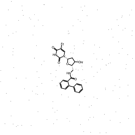 CCc1cn([C@@H]2CC(O)[C@H](CNC(=O)c3ccccc3-c3ccccc3)O2)c(=O)[nH]c1=O